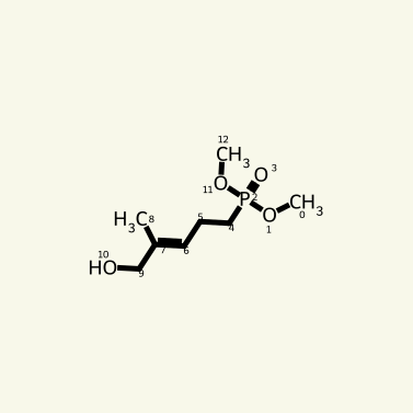 COP(=O)(CC/C=C(\C)CO)OC